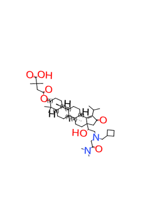 CC(C)C1=C2[C@H]3CC[C@@H]4[C@@]5(C)CC[C@H](OC(=O)CC(C)(C)C(=O)O)C(C)(C)[C@H]5CC[C@@]4(C)[C@]3(C)CCC2(C(O)CN(CC(=O)N(C)C)CC2CCC2)CC1=O